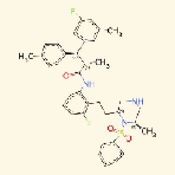 Cc1ccc([C@@H](c2cc(C)cc(F)c2)[C@H](C)C(=O)Nc2cccc(F)c2CC[C@H]2CNC[C@@H](C)N2S(=O)(=O)c2ccccc2)cc1